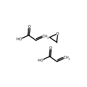 C1CO1.C=CC(=O)O.C=CC(=O)O